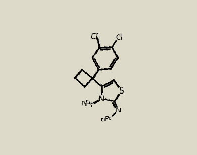 CCCN=c1scc(C2(c3ccc(Cl)c(Cl)c3)CCC2)n1CCC